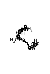 Cc1nn(CCOCCCCC#Cc2cccc3c2CN(C2CCC(=O)NC2=O)C3=O)c2cc(C(=O)Nc3cc4[nH]c([C@H]5CCCN5C)cc4cn3)ccc12